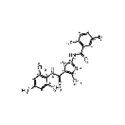 Cc1cc(C)c(NC(=O)c2sc(NC(=O)c3cc(Br)ccc3F)nc2C)c(C)c1